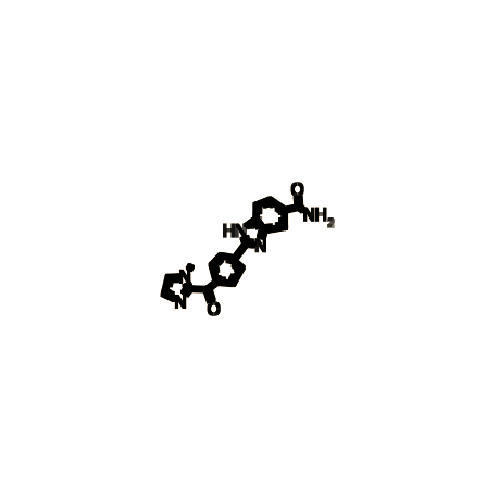 Cn1ccnc1C(=O)c1ccc(-c2nc3cc(C(N)=O)ccc3[nH]2)cc1